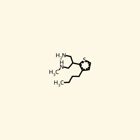 CCCCc1ccsc1C(CN)CNC